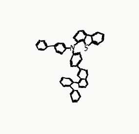 c1ccc(-c2ccc(N(c3ccc(-c4ccc5cccc(-c6ccccc6-c6ccccc6)c5c4)cc3)c3cccc4c3sc3ccccc34)cc2)cc1